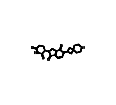 O=C1CC[C@@H](N2Cc3c(ccn(C4CC5(CCNCC5)C4)c3=O)C2=O)C(=O)N1